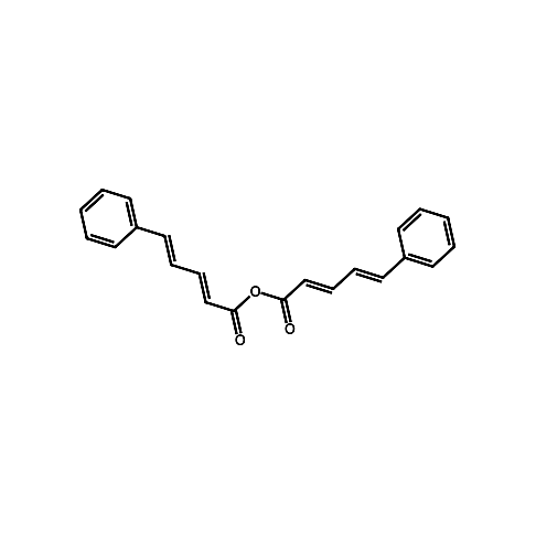 O=C(C=CC=Cc1ccccc1)OC(=O)C=CC=Cc1ccccc1